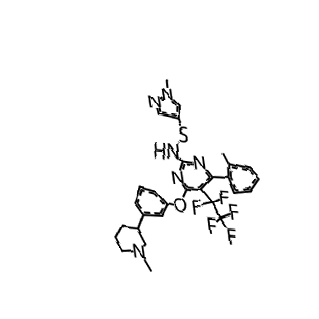 Cc1ccccc1-c1nc(NSc2cnn(C)c2)nc(Oc2cccc(C3CCCN(C)C3)c2)c1C(F)(F)C(F)(F)F